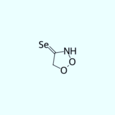 [Se]=C1COON1